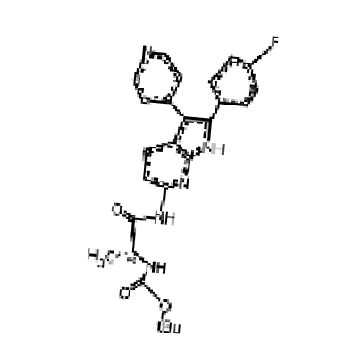 C[C@@H](NC(=O)OC(C)(C)C)C(=O)Nc1ccc2c(-c3ccncc3)c(-c3ccc(F)cc3)[nH]c2n1